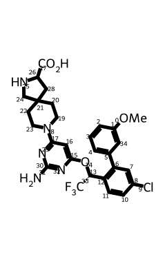 COc1cccc(-c2cc(Cl)ccc2[C@@H](Oc2cc(N3CCC4(CC3)CNC(C(=O)O)C4)nc(N)n2)C(F)(F)F)c1